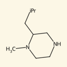 CC(C)CC1CNCCN1C